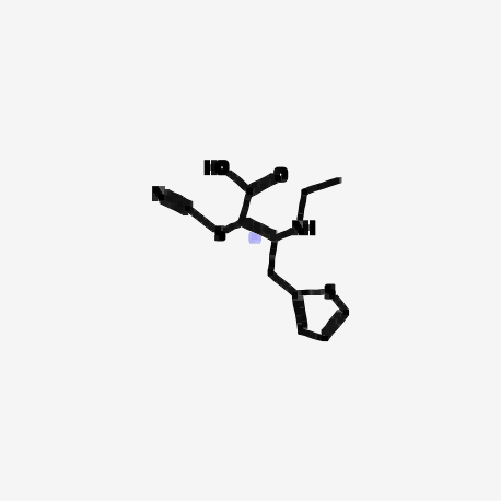 CCN/C(Cc1cccs1)=C(/SC#N)C(=O)O